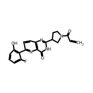 C=CC(=O)N1CCC(c2nc3ccc(-c4c(O)cccc4F)nc3c(=O)[nH]2)C1